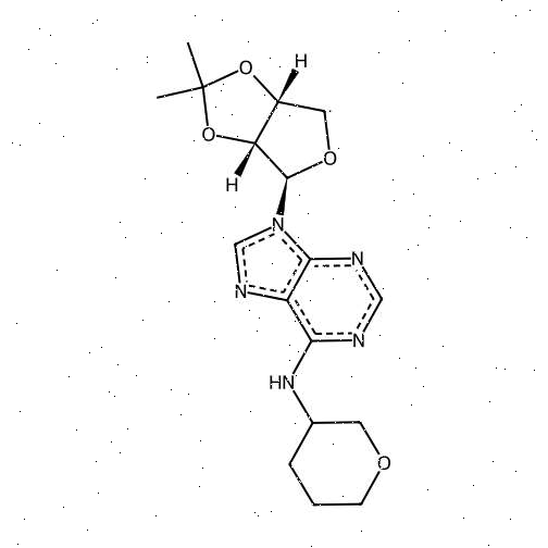 CC1(C)O[C@H]2[C@H](n3cnc4c(NC5CCCOC5)ncnc43)O[CH][C@H]2O1